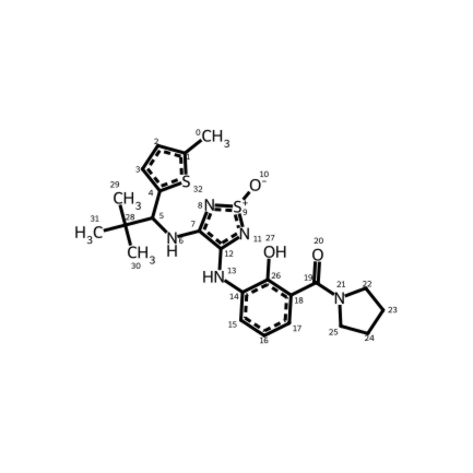 Cc1ccc(C(Nc2n[s+]([O-])nc2Nc2cccc(C(=O)N3CCCC3)c2O)C(C)(C)C)s1